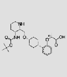 C[C@@H](Oc1ccccc1[C@H]1CC[C@@H](OCC2NCCCC2NC(=O)OC(C)(C)C)CC1)C(=O)O